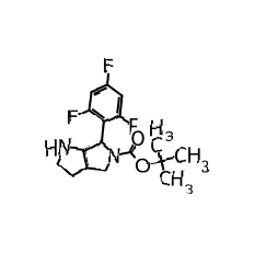 CC(C)(C)OC(=O)N1CC2CCNC2C1c1c(F)cc(F)cc1F